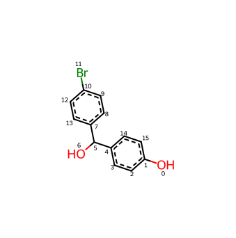 Oc1ccc(C(O)c2ccc(Br)cc2)cc1